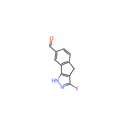 O=Cc1ccc2c(c1)-c1[nH]nc(I)c1C2